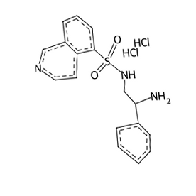 Cl.Cl.NC(CNS(=O)(=O)c1cccc2cnccc12)c1ccccc1